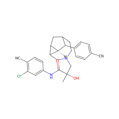 CC(O)(CN1CCC2CC3C(C1)[C@@H]3C2c1ccc(C#N)cc1)C(=O)Nc1ccc(C#N)c(Cl)c1